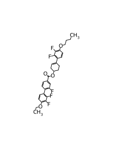 CCCCOc1ccc(C2=CCC(OC(=O)c3ccc(-c4ccc(OCC)c(F)c4F)c(F)c3)CC2)c(F)c1F